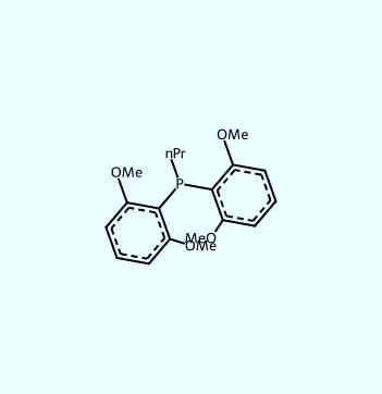 CCCP(c1c(OC)cccc1OC)c1c(OC)cccc1OC